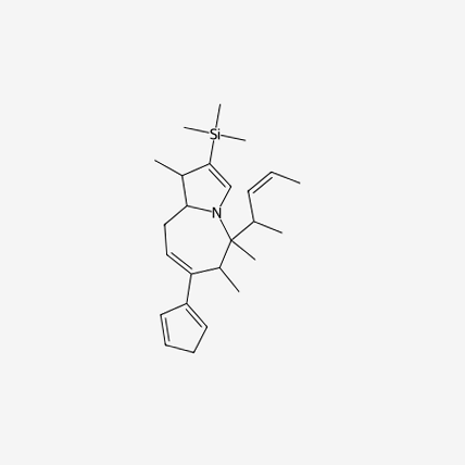 C/C=C\C(C)C1(C)C(C)C(C2=CCC=C2)=CCC2C(C)C([Si](C)(C)C)=CN21